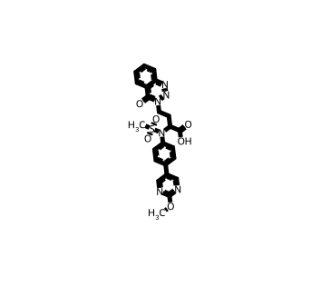 COc1ncc(-c2ccc(N(C(CCn3nnc4ccccc4c3=O)C(=O)O)S(C)(=O)=O)cc2)cn1